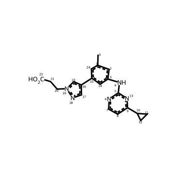 Cc1cc(Nc2nccc(C3CC3)n2)cc(-c2cnn(CCC(=O)O)c2)c1